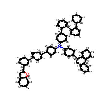 c1ccc(-c2ccccc2-c2ccccc2-c2ccc(N(c3ccc(-c4ccc(-c5cccc(-c6cc7ccccc7o6)c5)cc4)cc3)c3ccc(-c4cc5ccccc5c5ccccc45)cc3)cc2)cc1